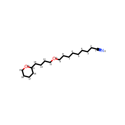 N#CCCCCCCCCOCCCCC1CCCCO1